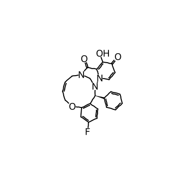 O=C1c2c(O)c(=O)ccn2N2CN1C/C=C\COc1cc(F)ccc1[C@@H]2c1ccccc1